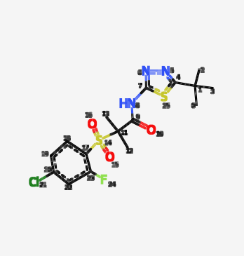 CC(C)(C)c1nnc(NC(=O)C(C)(C)S(=O)(=O)c2ccc(Cl)cc2F)s1